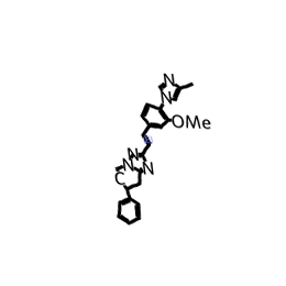 COc1cc(/C=C/c2nc3n(n2)CCC(c2ccccc2)C3)ccc1-n1cnc(C)c1